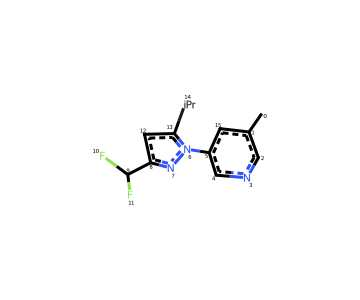 Cc1cncc(-n2nc(C(F)F)cc2C(C)C)c1